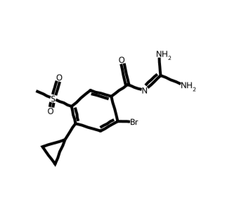 CS(=O)(=O)c1cc(C(=O)N=C(N)N)c(Br)cc1C1CC1